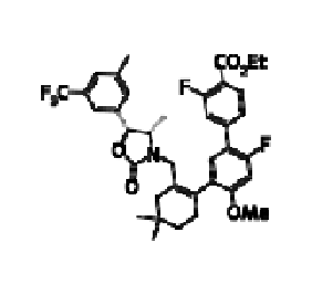 CCOC(=O)c1ccc(-c2cc(C3=C(CN4C(=O)O[C@H](c5cc(C)cc(C(F)(F)F)c5)[C@@H]4C)CC(C)(C)CC3)c(OC)cc2F)cc1F